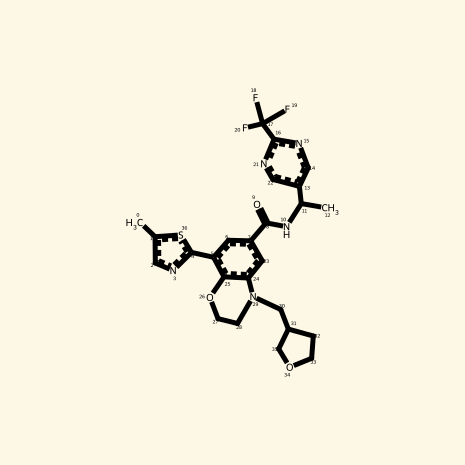 Cc1cnc(-c2cc(C(=O)NC(C)c3cnc(C(F)(F)F)nc3)cc3c2OCCN3CC2CCOC2)s1